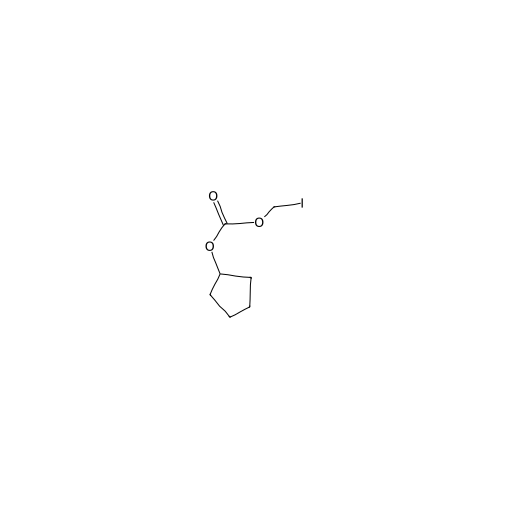 O=C(OCI)OC1CCCC1